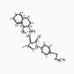 CC1=CN(c2ccc(CCC#N)cc2)C(=O)/C1=N\Nc1ccc2ccccc2c1O